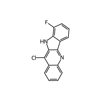 Fc1cccc2c1[nH]c1c(Cl)c3ccccc3nc12